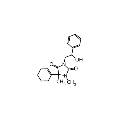 CN1C(=O)N(CC(O)c2ccccc2)C(=O)C1(C)C1=CCCCC1